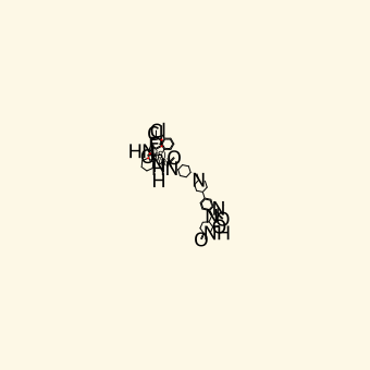 Cn1c(=O)n(C2CCC(=O)NC2=O)c2ccc(C3CCN(C[C@H]4CC[C@H](NC(=O)[C@@H]5NC6(CCCCC6)[C@@]6(C(=O)Nc7cc(Cl)ccc76)[C@H]5c5cccc(Cl)c5F)CC4)CC3)cc21